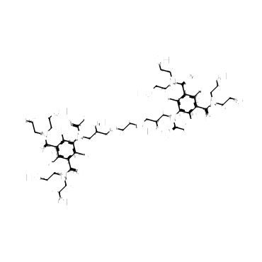 CC(=O)N(CC(O)COCCOCC(O)CN(C(C)=O)c1c(I)c(C(=O)N(CCO)CCO)c(I)c(C(=O)N(CCO)CCO)c1I)c1c(I)c(C(=O)N(CCO)CCO)c(I)c(C(=O)N(CCO)CCO)c1I